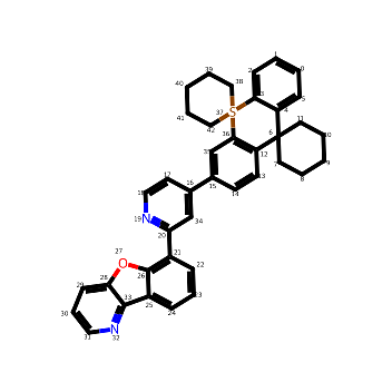 c1ccc2c(c1)C1(CCCCC1)c1ccc(-c3ccnc(-c4cccc5c4oc4cccnc45)c3)cc1S21CCCCC1